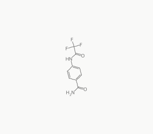 NC(=O)c1ccc(NC(=O)C(F)(F)F)cc1